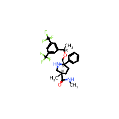 CNC(=O)[C@@]1(C)CC[C@@](CO[C@H](C)c2cc(C(F)(F)F)cc(C(F)(F)F)c2)(c2ccccc2)NC1